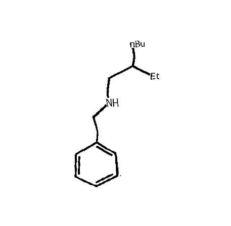 CCCCC(CC)CNCc1c[c]ccc1